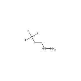 NNCCC(F)(F)F